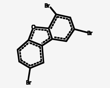 Brc1ccc2oc3c(Br)cc(Br)cc3c2c1